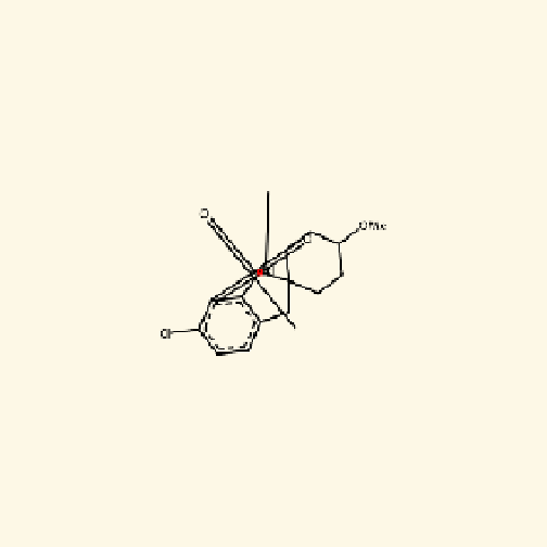 COC1CCC2(CC1)Cc1ccc(Cl)cc1C21NC(=O)N(C)C1=O